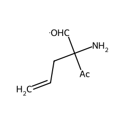 C=CCC(N)([C]=O)C(C)=O